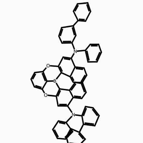 c1ccc(-c2cccc(N(c3ccccc3)c3cc4c(c5ccccc35)B3c5c(cccc5Oc5cc(N(c6ccccc6)c6ccccc6-c6ccccc6)c6ccccc6c53)O4)c2)cc1